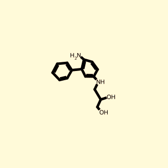 Nc1ccc(NCC(O)CO)cc1-c1ccccc1